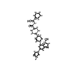 Cn1cc(-c2cc(-c3ccc(N4CCN(C(=O)CC(O)c5ccccc5)CC4)nc3)c3c(C#N)cnn3c2)cn1